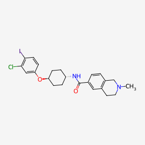 CN1CCc2cc(C(=O)N[C@H]3CC[C@H](Oc4ccc(I)c(Cl)c4)CC3)ccc2C1